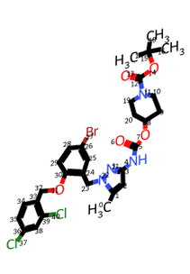 Cc1cc(NC(=O)OC2CCN(C(=O)OC(C)(C)C)CC2)nn1Cc1cc(Br)ccc1OCc1ccc(Cl)cc1Cl